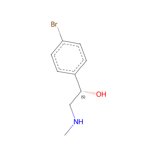 CNC[C@@H](O)c1ccc(Br)cc1